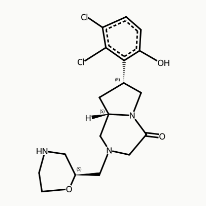 O=C1CN(C[C@@H]2CNCCO2)C[C@@H]2C[C@H](c3c(O)ccc(Cl)c3Cl)CN12